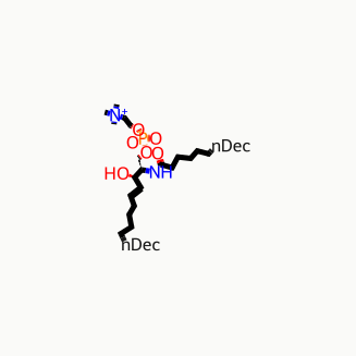 CCCCCCCCCCCCCC/C=C/[C@@H](O)[C@H](COP(=O)([O-])OCC[N+](C)(C)C)NC(=O)CCCCCCCCCCCCCCC